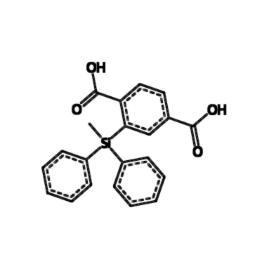 C[Si](c1ccccc1)(c1ccccc1)c1cc(C(=O)O)ccc1C(=O)O